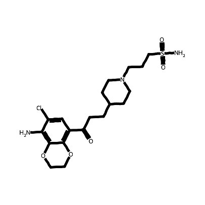 Nc1c(Cl)cc(C(=O)CCC2CCN(CCCS(N)(=O)=O)CC2)c2c1OCCO2